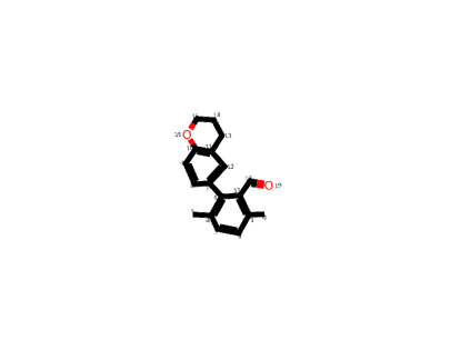 Cc1ccc(C)c(-c2ccc3c(c2)CCCO3)c1C=O